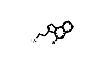 CCCC1=CCc2c1c(Br)cc1ccccc21